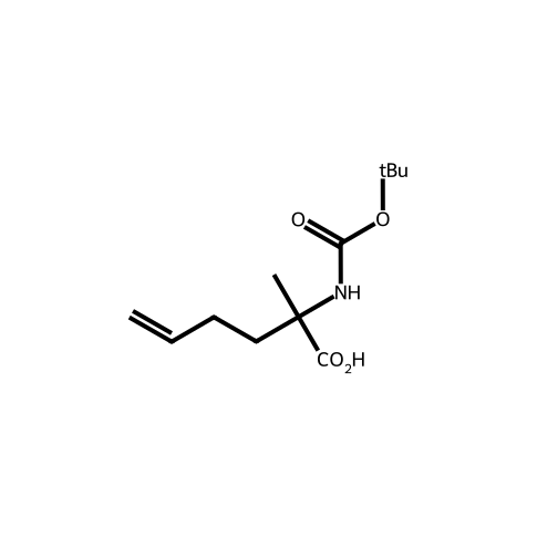 C=CCCC(C)(NC(=O)OC(C)(C)C)C(=O)O